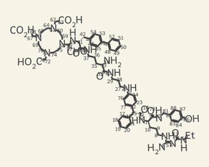 CCNC(=O)/N=C(/N)NCCC[C@@H](NC(=O)[C@H](c1ccccc1)c1ccc(NCCCNC(=O)[C@H](N)CCCNC(=O)[C@@H](Cc2ccc(-c3ccccc3)cc2)NC(C=O)N2CCN(CC(=O)O)CCN(CC(=O)O)CCN(CC(=O)O)CC2)cc1)C(=O)NCc1ccc(O)cc1